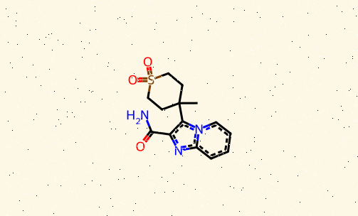 CC1(c2c(C(N)=O)nc3ccccn23)CCS(=O)(=O)CC1